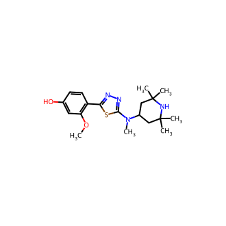 COc1cc(O)ccc1-c1nnc(N(C)C2CC(C)(C)NC(C)(C)C2)s1